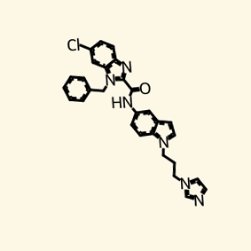 O=C(Nc1ccc2c(ccn2CCCn2ccnc2)c1)c1nc2ccc(Cl)cc2n1Cc1ccccc1